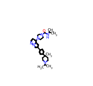 CC(C)NC(=O)N1CCN(c2ccnn3cc(-c4ccc(C5(C)CCN(C(C)C)CC5)cc4)cc23)CC1